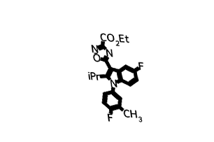 CCOC(=O)c1noc(-c2c(C(C)C)n(-c3ccc(F)c(C)c3)c3ccc(F)cc23)n1